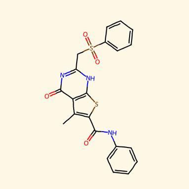 Cc1c(C(=O)Nc2ccccc2)sc2[nH]c(CS(=O)(=O)c3ccccc3)nc(=O)c12